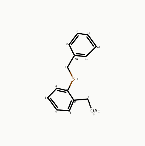 CC(=O)OCc1ccccc1SCc1ccccc1